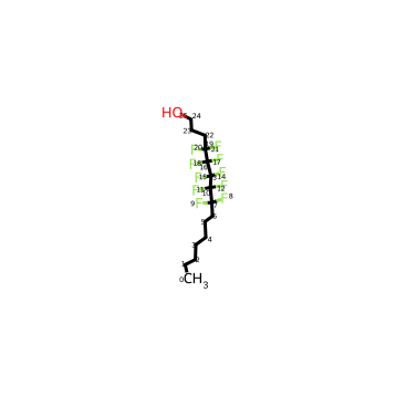 CCCCCCCC(F)(F)C(F)(F)C(F)(F)C(F)(F)C(F)(F)CCCO